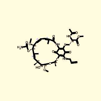 C=CCNC1=C2C[C@@H](C)C[C@H](OC)[C@H](O)[C@@H](C)/C=C(\C)[C@H](OC(N)=O)[C@@H](OC)/C=C\C=C(/C)C(=O)NC(=C(SC[C@H](NC(C)=O)C(=O)OC)C1=O)C2=O